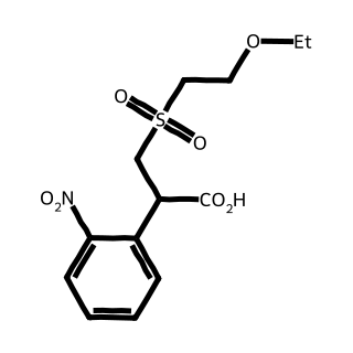 CCOCCS(=O)(=O)CC(C(=O)O)c1ccccc1[N+](=O)[O-]